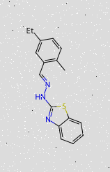 CCc1ccc(C)c(/C=N/Nc2nc3ccccc3s2)c1